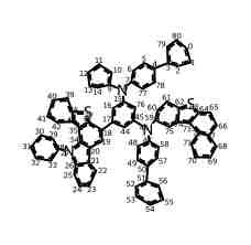 c1ccc(-c2ccc(N(c3ccccc3)c3cc(-c4cc5c6ccccc6n(-c6ccccc6)c5c5c4sc4ccccc45)cc(N(c4ccc(-c5ccccc5)cc4)c4ccc5sc6ccc7ccccc7c6c5c4)c3)cc2)cc1